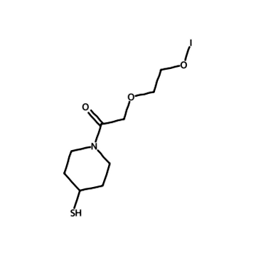 O=C(COCCOI)N1CCC(S)CC1